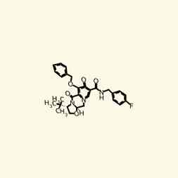 CC(C)(C)[C@H]1CO[C@@H]2Cn3cc(C(=O)NCc4ccc(F)cc4)c(=O)c(OCc4ccccc4)c3C(=O)N21